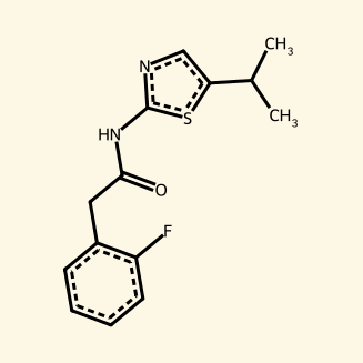 CC(C)c1cnc(NC(=O)Cc2ccccc2F)s1